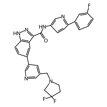 O=C(Nc1ccc(-c2cccc(F)c2)nc1)c1n[nH]c2ccc(-c3cncc(CN4CCC(F)(F)C4)c3)cc12